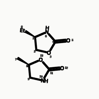 CC[C@@H]1COC(=O)N1.C[C@@H]1CNC(=O)O1